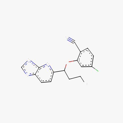 CCCC(Oc1cc(Cl)ccc1C#N)c1ccc2nc[nH]c2n1